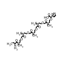 CCC(N)C(=O)N(C)CCOCC(=O)N(C)CCOCC(=O)N(C)CCOCC(=O)N(C)CCOCC(=O)N(C)CCOC(C(=O)O)n1ccnn1